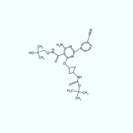 CC(C)(O)CONC(=O)c1c(N)nc(-c2cccc(C#N)c2)nc1OC1CC(NC(=O)OC(C)(C)C)C1